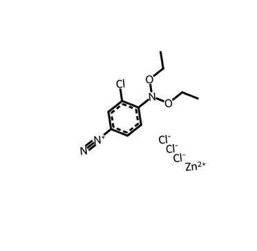 CCON(OCC)c1ccc([N+]#N)cc1Cl.[Cl-].[Cl-].[Cl-].[Zn+2]